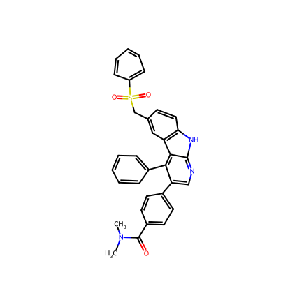 CN(C)C(=O)c1ccc(-c2cnc3[nH]c4ccc(CS(=O)(=O)c5ccccc5)cc4c3c2-c2ccccc2)cc1